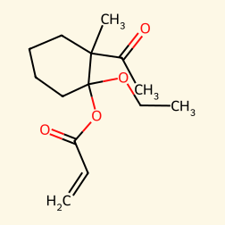 C=CC(=O)OC1(OCC)CCCCC1(C)C(C)=O